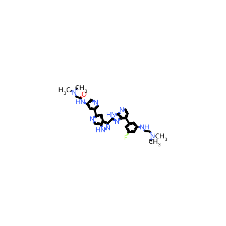 CN(C)CCNc1cc(F)cc(-c2ccnc3[nH]c(-c4n[nH]c5cnc(-c6cncc(NC(=O)CN(C)C)c6)cc45)nc23)c1